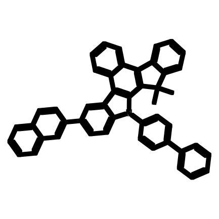 CC1(C)c2ccccc2-c2c1c1c(c3ccccc23)c2cc(-c3ccc4ccccc4c3)ccc2n1-c1ccc(-c2ccccc2)cc1